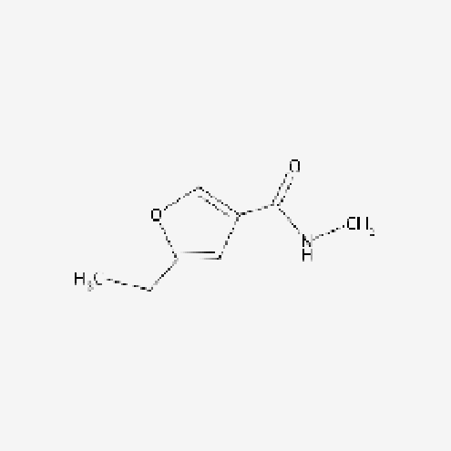 CCc1cc(C(=O)NC)co1